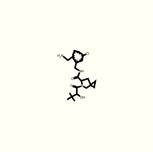 CC(C)(C)C(O)C(=O)N1CC2(CC2)CC1C(=O)NCc1cc(Cl)ccc1CN